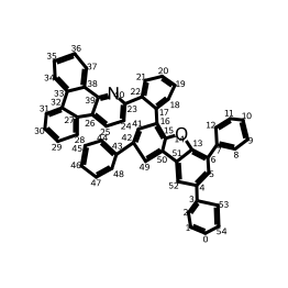 c1ccc(-c2cc(-c3ccccc3)c3oc4c(-c5ccccc5-c5ccc6c7ccccc7c7ccccc7c6n5)cc(-c5ccccc5)cc4c3c2)cc1